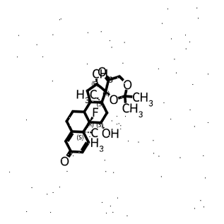 C[C@@H]1CC2C3CCC4=CC(=O)C=C[C@]4(C)[C@@]3(F)[C@@H](O)C[C@]2(C)[C@]12OC(C)(C)OCC2=O